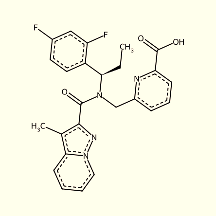 CC[C@H](c1ccc(F)cc1F)N(Cc1cccc(C(=O)O)n1)C(=O)c1nn2ccccc2c1C